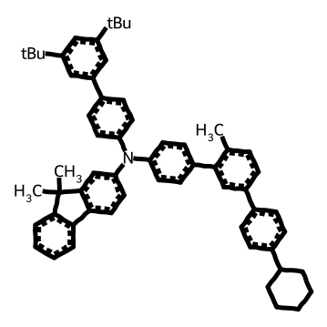 Cc1ccc(-c2ccc(C3CCCCC3)cc2)cc1-c1ccc(N(c2ccc(-c3cc(C(C)(C)C)cc(C(C)(C)C)c3)cc2)c2ccc3c(c2)C(C)(C)c2ccccc2-3)cc1